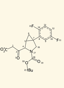 CCOC(=O)CC(=O)C1C2CC2(c2cc(F)ccc2F)CN1C(=O)OC(C)(C)C